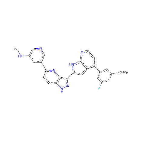 COc1cc(F)cc(-c2ccnc3[nH]c(-c4n[nH]c5ccc(-c6cncc(NC(C)C)c6)nc45)cc23)c1